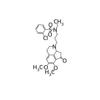 CCN(CCCN1CCc2cc(OC)c(OC)c3c2C1CC3=O)S(=O)(=O)c1ccccc1Cl